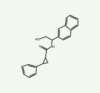 O=C(NC(CO)c1ccc2ccccc2c1)C1CC1c1ccccc1